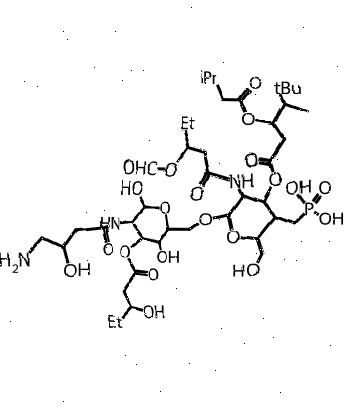 CCC(O)CC(=O)OC1C(O)C(COC2OC(CO)C(CP(=O)(O)O)C(OC(=O)CC(OC(=O)CC(C)C)C(C)C(C)(C)C)C2NC(=O)CC(CC)OC=O)OC(O)C1NC(=O)CC(O)CN